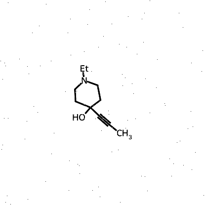 CC#CC1(O)CCN(CC)CC1